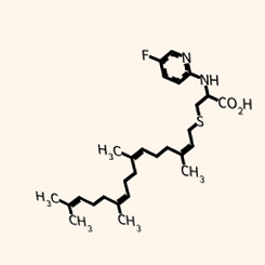 CC(C)=CCCC(C)=CCCC(C)=CCCC(C)=CCSCC(Nc1ccc(F)cn1)C(=O)O